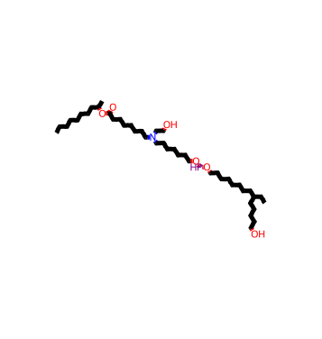 CCCCCCCCC(C)OC(=O)CCCCCCCN(CCO)CCCCCCCOPOCCCCCCCCC(CC)CCCCCO